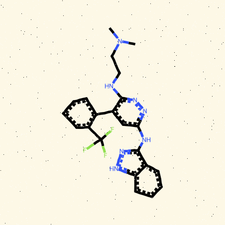 CN(C)CCNc1nnc(Nc2n[nH]c3ccccc23)cc1-c1ccccc1C(F)(F)F